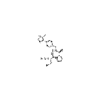 CC(=O)N[C@@H](CC(C)C)C(=O)N1CCC[C@H]1C(=O)NCc1ccc(-c2scnc2C)cc1